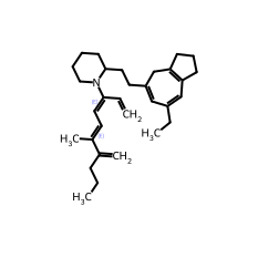 C=C/C(=C\C=C(/C)C(=C)CCC)N1CCCCC1CCC1=CC(CC)=CC2=C(CCC2)C1